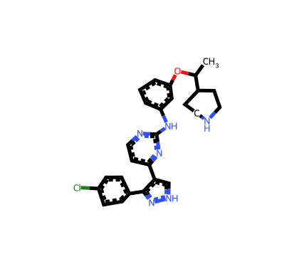 CC(Oc1cccc(Nc2nccc(-c3c[nH]nc3-c3ccc(Cl)cc3)n2)c1)C1CCNCC1